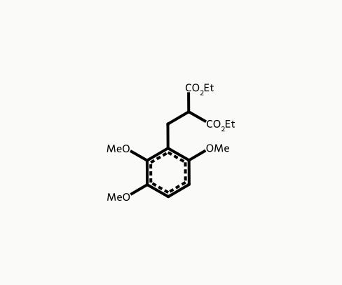 CCOC(=O)C(Cc1c(OC)ccc(OC)c1OC)C(=O)OCC